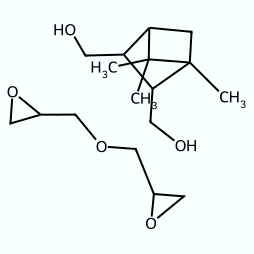 C(OCC1CO1)C1CO1.CC1(C)C2CC1(C)C(CO)C2CO